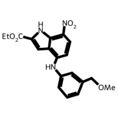 CCOC(=O)c1cc2c(Nc3cccc(COC)c3)ccc([N+](=O)[O-])c2[nH]1